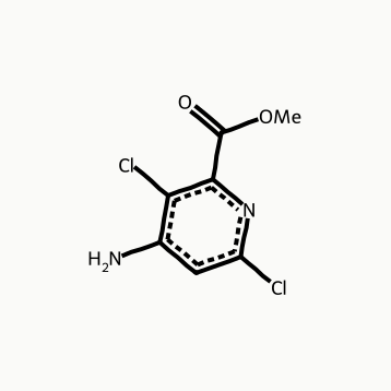 COC(=O)c1nc(Cl)cc(N)c1Cl